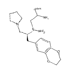 CCCCCCC(N)CN(N)[C@@H](Cc1ccc2c(c1)OCCO2)CN1CCCC1